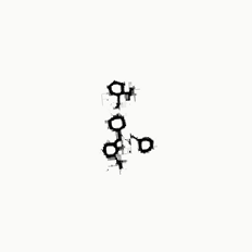 Fc1cccc(C(F)(F)F)c1COc1ccc(-c2c3cccc(C(F)(F)F)c3nn2Cc2ccccc2)cc1